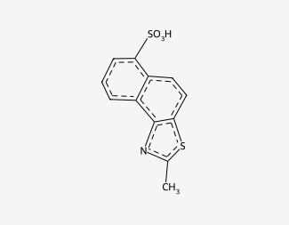 Cc1nc2c(ccc3c(S(=O)(=O)O)cccc32)s1